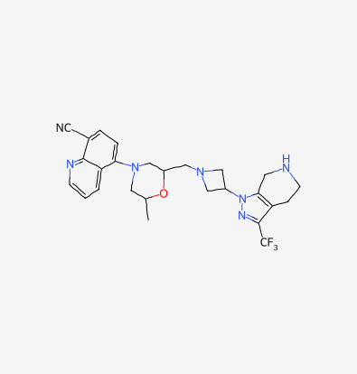 CC1CN(c2ccc(C#N)c3ncccc23)CC(CN2CC(n3nc(C(F)(F)F)c4c3CNCC4)C2)O1